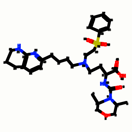 CC1COCC(C)N1C(=O)NC(CCN(CCCCc1ccc2c(n1)NCCC2)CCS(=O)(=O)c1ccccc1)C(=O)O